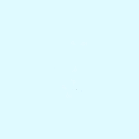 C[C@H](Oc1ccc(Cl)cc1Oc1ccc(S(=O)O)cc1Cl)C(=O)O